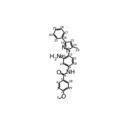 COc1ccc(C(=O)Nc2ccc(-n3nc(-c4ccccc4)cc3C)c(N)c2)cc1